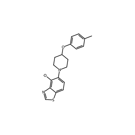 Cc1ccc(OC2CCN(c3ccc4scnc4c3[O])CC2)cc1